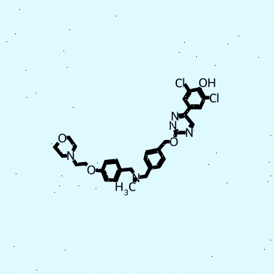 CN(Cc1ccc(COc2ncc(-c3cc(Cl)c(O)c(Cl)c3)nn2)cc1)Cc1ccc(OCCN2CCOCC2)cc1